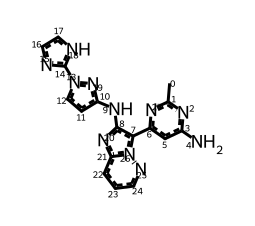 Cc1nc(N)cc(-c2c(Nc3ccn(-c4ncc[nH]4)n3)nc3cccnn23)n1